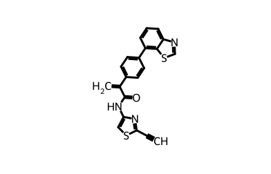 C#Cc1nc(NC(=O)C(=C)c2ccc(-c3cccc4ncsc34)cc2)cs1